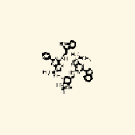 CC(C)n1cnc2c(NCCc3c[nH]c4ccccc34)nc(-c3cccnc3)nc21.CC(C)n1cnc2c(NCc3ccc4[nH]c(=O)[nH]c4c3)nc(-c3csc4ccccc34)nc21